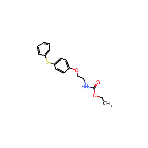 CCOC(=O)NCCOc1ccc(Sc2ccccc2)cc1